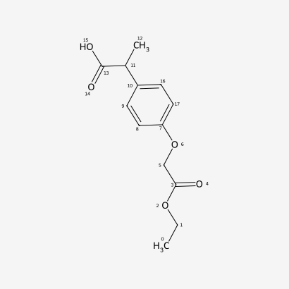 CCOC(=O)COc1ccc(C(C)C(=O)O)cc1